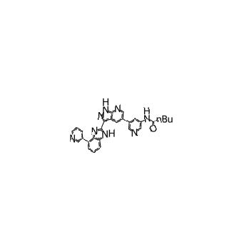 CCCCC(=O)Nc1cncc(-c2cnc3[nH]nc(-c4nc5c(-c6cccnc6)cccc5[nH]4)c3c2)c1